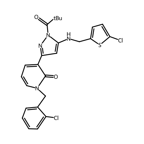 CC(C)(C)C(=O)n1nc(-c2cccn(Cc3ccccc3Cl)c2=O)cc1NCc1ccc(Cl)s1